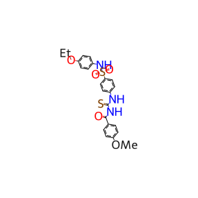 CCOc1ccc(NS(=O)(=O)c2ccc(NC(=S)NC(=O)c3ccc(OC)cc3)cc2)cc1